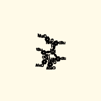 COc1ccc(NC(=O)Nc2ccc(C(C)(C)C)cc2C#Cc2nc(C#Cc3cc(C(C)(C)C)ccc3NC(=O)Nc3ccc(OC)cc3)nc(C#Cc3cc(C(C)(C)C)ccc3NC(=O)Nc3ccc(OC)cc3)n2)cc1